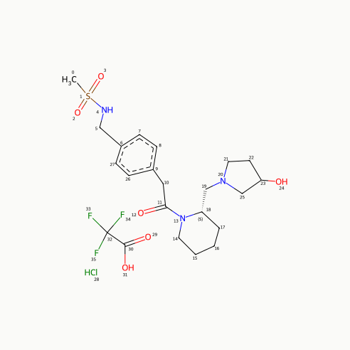 CS(=O)(=O)NCc1ccc(CC(=O)N2CCCC[C@H]2CN2CCC(O)C2)cc1.Cl.O=C(O)C(F)(F)F